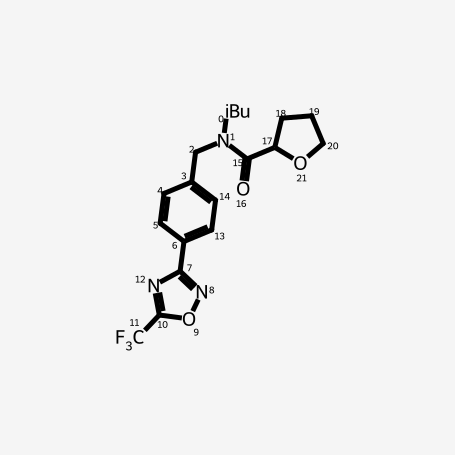 CCC(C)N(Cc1ccc(-c2noc(C(F)(F)F)n2)cc1)C(=O)C1CCCO1